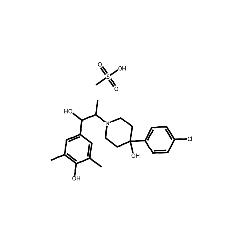 CS(=O)(=O)O.Cc1cc(C(O)C(C)N2CCC(O)(c3ccc(Cl)cc3)CC2)cc(C)c1O